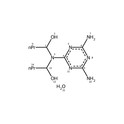 CCCC(O)N(c1nc(N)nc(N)n1)C(O)CCC.O